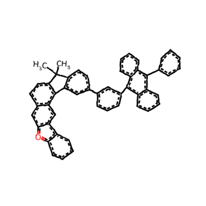 CC1(C)c2ccc(-c3cccc(-c4c5ccccc5c(-c5ccccc5)c5ccccc45)c3)cc2-c2c1ccc1cc3oc4ccccc4c3cc21